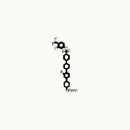 CCCCCC1CCC(c2ccc(C3CCC(C4CCC(C(F)(F)Oc5ccc(C(F)F)c(F)c5)CC4)CC3)c(F)c2)CC1